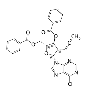 C=C=C[C@H]1[C@H](OC(=O)c2ccccc2)[C@@H](COC(=O)c2ccccc2)O[C@H]1n1cnc2c(Cl)ncnc21